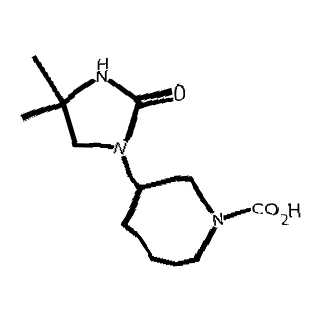 CC1(C)CN(C2CCCN(C(=O)O)C2)C(=O)N1